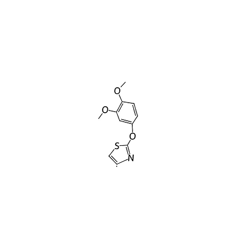 COc1ccc(Oc2n[c]cs2)cc1OC